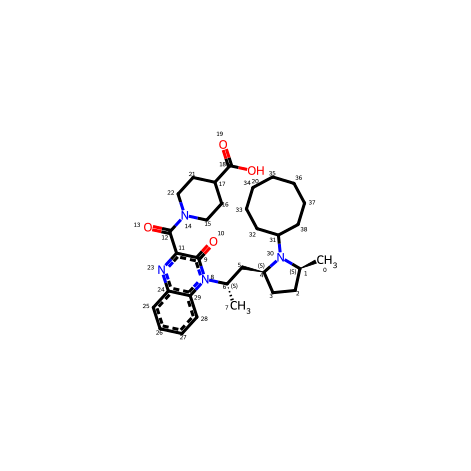 C[C@H]1CC[C@@H](C[C@H](C)n2c(=O)c(C(=O)N3CCC(C(=O)O)CC3)nc3ccccc32)N1C1CCCCCCC1